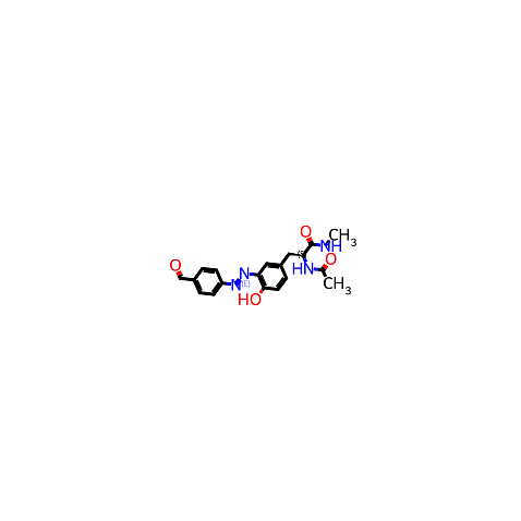 CNC(=O)[C@H](Cc1ccc(O)c(/N=N/c2ccc(C=O)cc2)c1)NC(C)=O